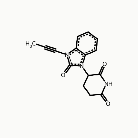 CC#Cn1c(=O)n(C2CCC(=O)NC2=O)c2ccccc21